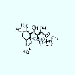 C[C@@H]1C([C@@H](O)/C(C=O)=C(\O)C2OC2[C@@]2(C)C=CCN2C)[C@@](C)(CCCO)C(I)C[C@@H]1O